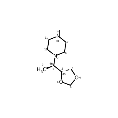 C[C@H]([C@@H]1COCO1)N1CCNCC1